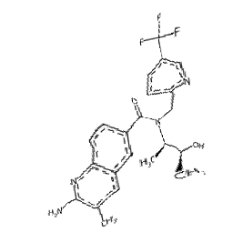 Cc1cc2cc(C(=O)N(Cc3ccc(C(F)(F)F)cn3)[C@H](C)[C@H](C)O)ccc2nc1N